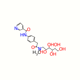 CN(C[C@H](O)[C@@H](O)[C@H](O)[C@H](O)CO)C(=O)Cc1ccc(NC(=O)c2cccnc2)cc1